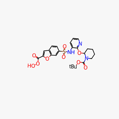 CC(C)(C)OC(=O)N1CCCCC1Oc1ncccc1NS(=O)(=O)c1ccc2cc(C(=O)OO)oc2c1